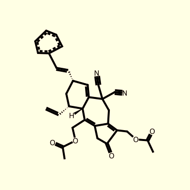 C=C[C@@H]1C[C@H](/C=C/c2ccccc2)C=C2[C@@H]1C(COC(C)=O)=C1CC(=O)C(COC(C)=O)=C1CC2(C#N)C#N